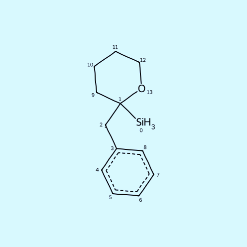 [SiH3]C1([CH]c2ccccc2)CCCCO1